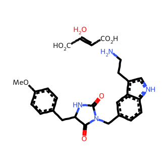 COc1ccc(CC2NC(=O)N(Cc3ccc4[nH]cc(CCN)c4c3)C2=O)cc1.O.O=C(O)C=CC(=O)O